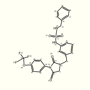 O=C1CN(Cc2ccnc(NS(=O)(=O)NCc3ccccc3)c2)C(=O)N1c1ccc(OC(F)(F)F)cc1